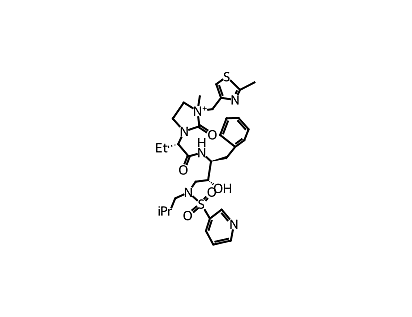 CC[C@@H](C(=O)N[C@@H](Cc1ccccc1)[C@H](O)CN(CC(C)C)S(=O)(=O)c1cccnc1)N1CC[N+](C)(Cc2csc(C)n2)C1=O